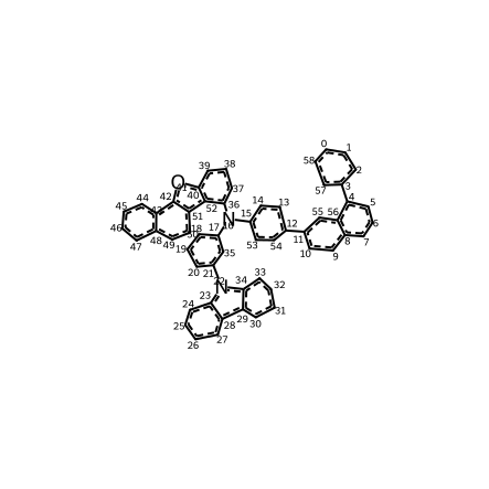 c1ccc(-c2cccc3ccc(-c4ccc(N(c5cccc(-n6c7ccccc7c7ccccc76)c5)c5cccc6oc7c8ccccc8ccc7c56)cc4)cc23)cc1